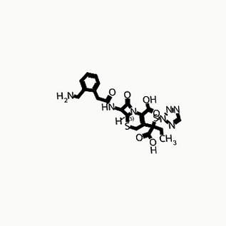 CCC(Sn1ncnn1)(C(=O)O)C1=C(C(=O)O)N2C(=O)C(NC(=O)Cc3ccccc3CN)[C@@H]2SC1